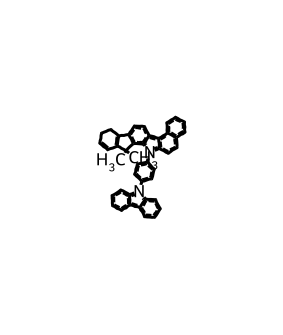 CC1(C)C2=C(CCC=C2)c2ccc3c4c5ccccc5ccc4n(-c4ccc(-n5c6ccccc6c6ccccc65)cc4)c3c21